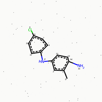 Cc1cc(Nc2ccc(Cl)cc2)ccc1N